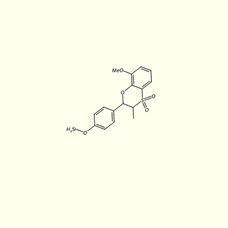 COc1cccc2c1OC(c1ccc(O[SiH3])cc1)C(C)S2(=O)=O